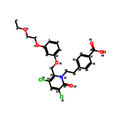 CCOCCOc1cccc(OCc2c(Cl)cc(Cl)c(=O)n2CCc2ccc(C(=O)O)cc2)c1